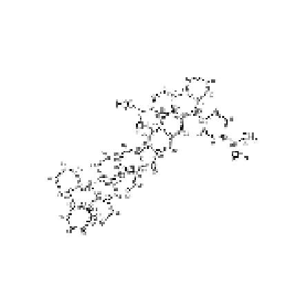 CC(C)c1ccc(-c2ccccc2N(c2ccc(C(C)C)cc2)c2ccc3cc4c(cc3c2)oc2cc3cc(N(c5ccccc5-c5ccccc5)c5ccccc5-c5ccccc5)ccc3cc24)cc1